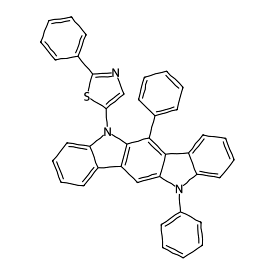 c1ccc(-c2ncc(-n3c4ccccc4c4cc5c(c(-c6ccccc6)c43)c3ccccc3n5-c3ccccc3)s2)cc1